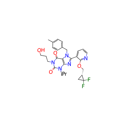 Cc1ccc(Cn2c(-c3cccnc3OC[C@H]3CC3(F)F)nc3c2c(=O)n(CCCO)c(=O)n3C(C)C)cc1